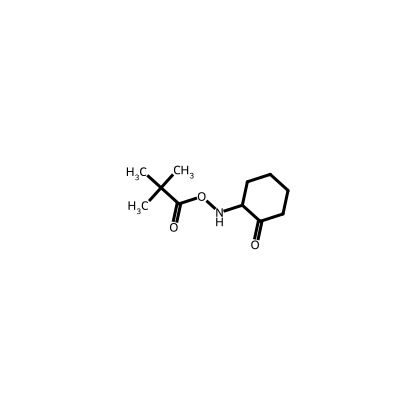 CC(C)(C)C(=O)ONC1CCCCC1=O